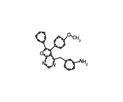 COc1ccc(-c2c(-c3ccccc3)oc3ncnc(Cc4cccc(N)c4)c23)cc1